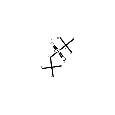 CC(C)(C)CS(=O)(=O)C(C)(C)C